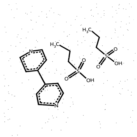 CCCS(=O)(=O)O.CCCS(=O)(=O)O.c1cc(-c2ccncc2)ccn1